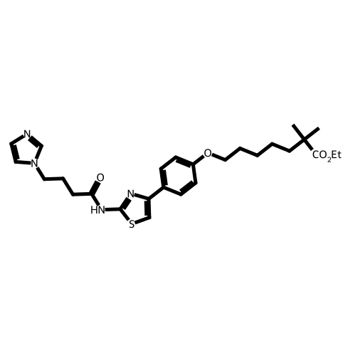 CCOC(=O)C(C)(C)CCCCCOc1ccc(-c2csc(NC(=O)CCCn3ccnc3)n2)cc1